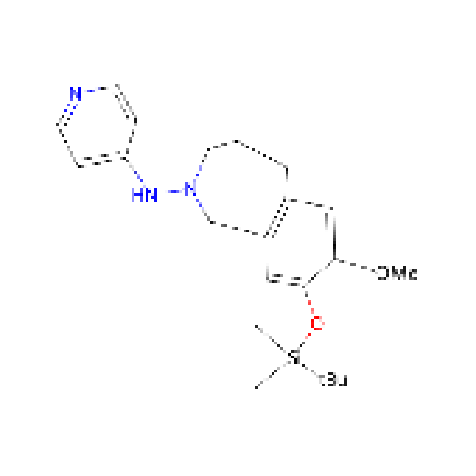 COc1cc2c(cc1O[Si](C)(C)C(C)(C)C)CN(Nc1ccncc1)CCC2